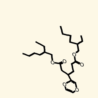 CCCCC(CC)COC(=O)CCC(CC(=O)OCC(CC)CCCC)C1=COC=CO1